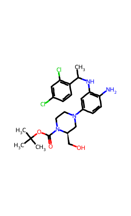 CC(Nc1cc(N2CCN(C(=O)OC(C)(C)C)[C@H](CO)C2)ccc1N)c1ccc(Cl)cc1Cl